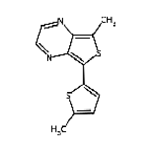 Cc1ccc(-c2sc(C)c3nccnc23)s1